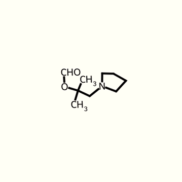 CC(C)(CN1CCCC1)OC=O